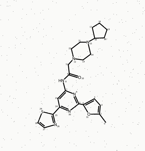 Cc1ccc(-c2nc(NC(=O)CN3CCN(C4CCCC4)CC3)cc(-c3nccs3)n2)o1